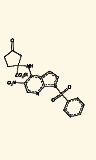 CCOC(=O)C1(Nc2c([N+](=O)[O-])cnc3c2ccn3S(=O)(=O)c2ccccc2)CCC(=O)C1